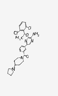 CC(Oc1nc(-c2cccc(C(=O)N3CCC(N4CCCC4)CC3)c2)cnc1N)c1c(Cl)cccc1Cl